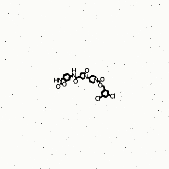 O=C(Nc1ccc2[nH]c(=O)oc2c1)C1CC(=O)N(C2CCN(C(=O)OCc3cc(Cl)cc(Cl)c3)CC2)C1